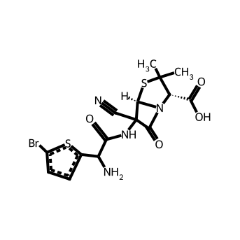 CC1(C)S[C@H]2N(C(=O)C2(C#N)NC(=O)C(N)c2ccc(Br)s2)[C@H]1C(=O)O